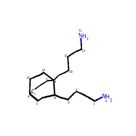 NCCCC1CC2CCC1(CCCN)CC2